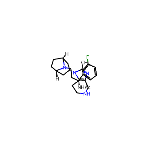 CC(=O)N[C@@H](CCN1[C@@H]2CC[C@H]1C[C@@H](n1c(C)nc3c1CCNC3)C2)c1cccc(F)c1